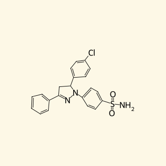 NS(=O)(=O)c1ccc(N2N=C(c3ccccc3)CC2c2ccc(Cl)cc2)cc1